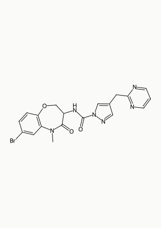 CN1C(=O)C(NC(=O)n2cc(Cc3ncccn3)cn2)COc2ccc(Br)cc21